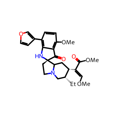 CC[C@@H]1CN2CC[C@]3(Nc4c(-c5ccoc5)ccc(OC)c4C3=O)C2C[C@@H]1/C(=C\OC)C(=O)OC